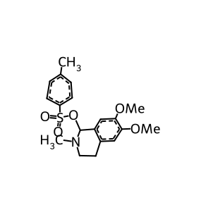 COc1cc2c(cc1OC)C(OS(=O)(=O)c1ccc(C)cc1)N(C)CC2